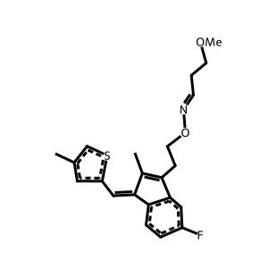 COCCC=NOCCC1=C(C)C(=Cc2cc(C)cs2)c2ccc(F)cc21